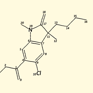 C=C(CC)c1cc2c(cc1Cl)C(C)(CCCC)C(=C)N2C